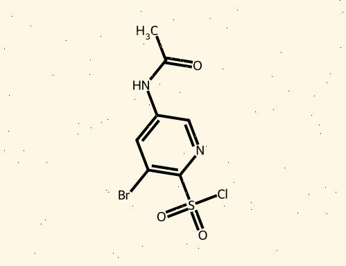 CC(=O)Nc1cnc(S(=O)(=O)Cl)c(Br)c1